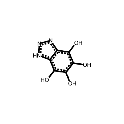 Oc1c(O)c(O)c2[nH]nnc2c1O